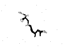 CC(CCNCC(=O)NC(C)(C)C)CC(C)C(C)(C)C